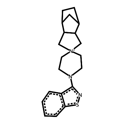 c1ccc2c(N3CC[N+]4(CC3)CC3C5CCC(C5)C3C4)nsc2c1